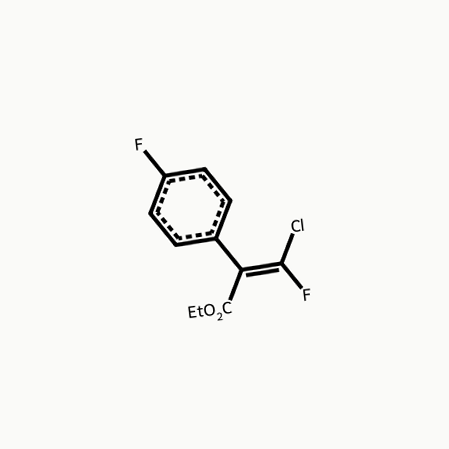 CCOC(=O)C(=C(F)Cl)c1ccc(F)cc1